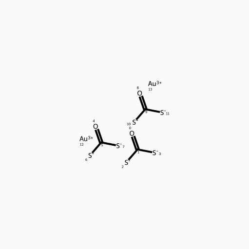 O=C([S-])[S-].O=C([S-])[S-].O=C([S-])[S-].[Au+3].[Au+3]